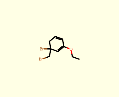 CCOC1=CC(Br)(CBr)CC=C1